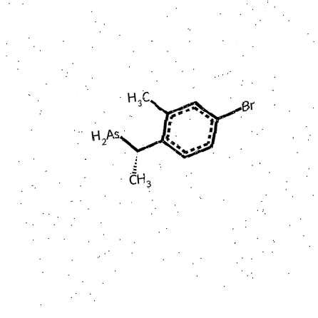 Cc1cc(Br)ccc1[C@H](C)[AsH2]